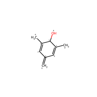 C=C1C=C(C)C(O)C(C)=C1